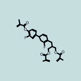 C=C(C)C(=O)OCC(COC(=O)C(=C)C)CC1=C(F)CC(c2ccc(OC(=O)C(=C)C)c(F)c2)C=C1